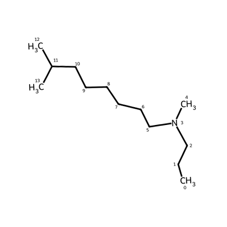 CCCN(C)CCCCCCC(C)C